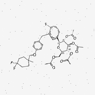 CC(=O)OC[C@H]1O[C@@H](c2ccc(F)c(Cc3ccc(OCC4(C)CCC(F)(F)CC4)cc3)c2)[C@H](OC(C)=O)[C@@H](OC(C)=O)[C@@H]1OC(C)=O